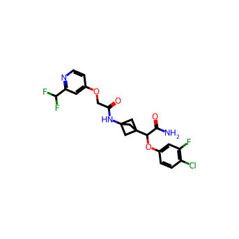 NC(=O)C(Oc1ccc(Cl)c(F)c1)C12CC(NC(=O)COc3ccnc(C(F)F)c3)(C1)C2